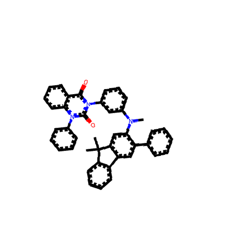 CN(c1cccc(-n2c(=O)c3ccccc3n(-c3ccccc3)c2=O)c1)c1cc2c(cc1-c1ccccc1)-c1ccccc1C2(C)C